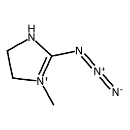 C[N+]1=C(N=[N+]=[N-])NCC1